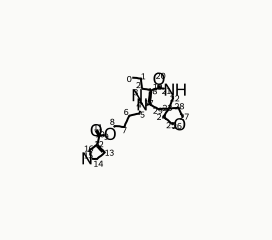 CCc1nn(CCCCOC(=O)C2=CCN=C2)c2c1C(=O)NCC1(CCOCC1)C2